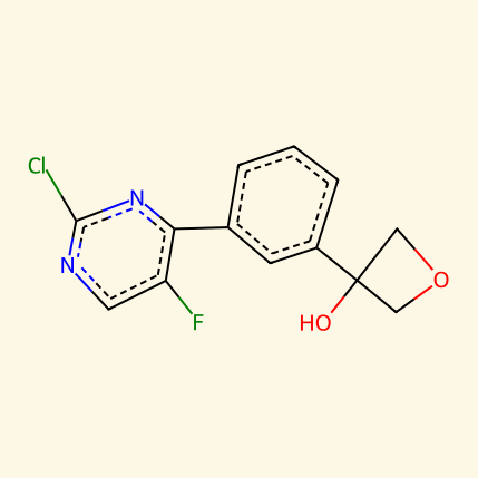 OC1(c2cccc(-c3nc(Cl)ncc3F)c2)COC1